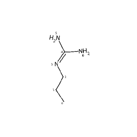 C[CH]CN=C(N)N